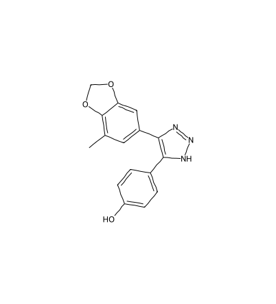 Cc1cc(-c2nn[nH]c2-c2ccc(O)cc2)cc2c1OCO2